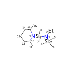 CCN([Si](C)(C)C)[Si](C)(C)N1C(C)CCCC1C